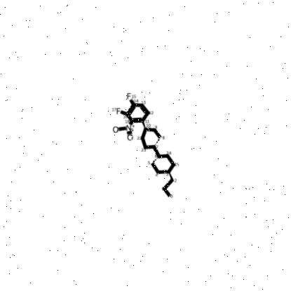 CCC[C@H]1CC[C@H]([C@H]2CC[C@H](c3ccc(F)c(F)c3[N+](=O)[O-])CC2)CC1